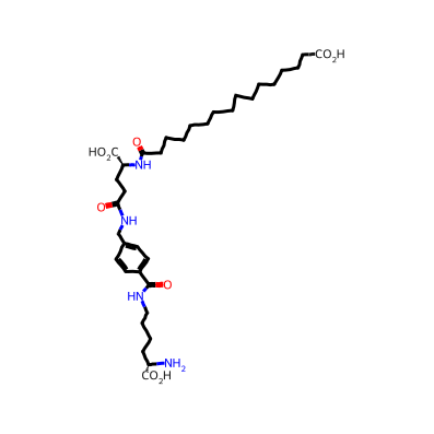 N[C@@H](CCCCNC(=O)c1ccc(CNC(=O)CC[C@H](NC(=O)CCCCCCCCCCCCCCC(=O)O)C(=O)O)cc1)C(=O)O